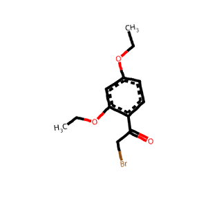 CCOc1ccc(C(=O)CBr)c(OCC)c1